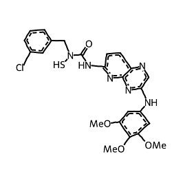 COc1cc(Nc2cnc3ccc(NC(=O)N(S)Cc4cccc(Cl)c4)nc3n2)cc(OC)c1OC